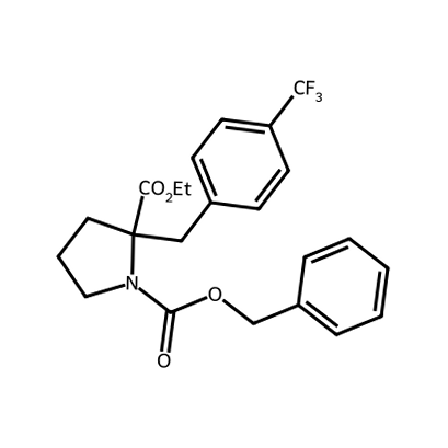 CCOC(=O)C1(Cc2ccc(C(F)(F)F)cc2)CCCN1C(=O)OCc1ccccc1